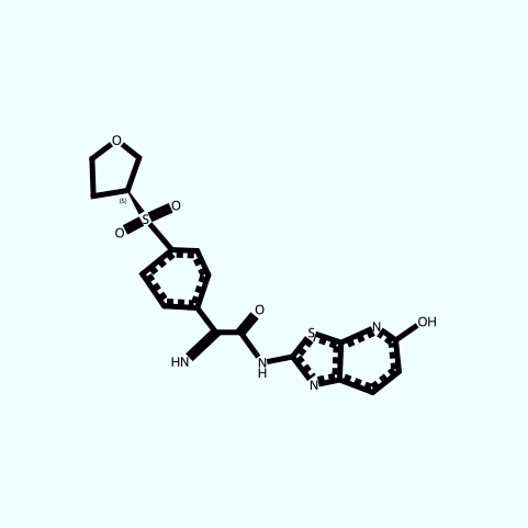 N=C(C(=O)Nc1nc2ccc(O)nc2s1)c1ccc(S(=O)(=O)[C@H]2CCOC2)cc1